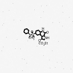 CCOC(=O)Oc1c[nH]c2c(=O)[nH]c3ccc(S(=O)(=O)N(C)c4ccccc4)cc3c12